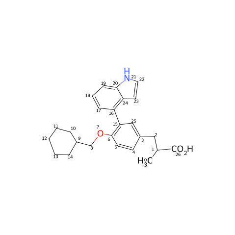 CC(Cc1ccc(OCC2CCCCC2)c(-c2cccc3[nH]ccc23)c1)C(=O)O